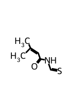 CC(C)=CC(=O)NC=S